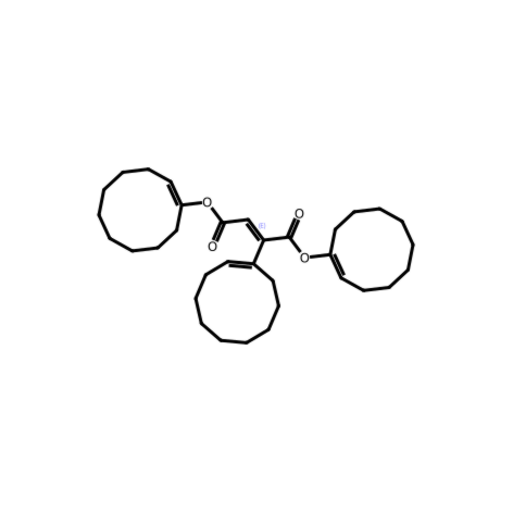 O=C(/C=C(/C(=O)OC1=CCCCCCCCC1)C1=CCCCCCCCC1)OC1=CCCCCCCCC1